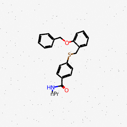 CCCNC(=O)c1ccc(SCc2ccccc2OCc2ccccc2)cc1